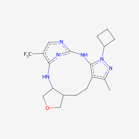 Cc1nn(C2CCC2)c2c1CCC1COCC1Nc1nc(ncc1C(F)(F)F)N2